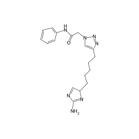 NC1=NC(CCCCCc2cn(CC(=O)Nc3ccccc3)nn2)C=N1